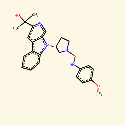 CC(C)(O)c1cc2c3ccccc3n([C@@H]3CCN(SNc4ccc(OC(F)(F)F)cc4)C3)c2cn1